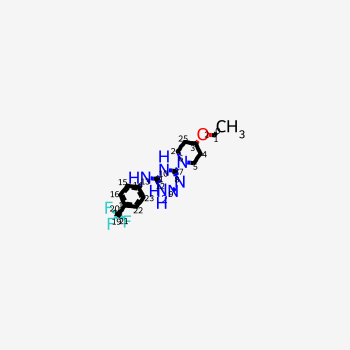 CCOC1CCN(C(=NN)NC(=N)Nc2ccc(C(F)(F)F)cc2)CC1